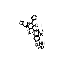 COP1(=O)N=C(c2c(O)c(-c3ccsc3)nn(CC3CCC3)c2=O)Nc2ccc(NS(C)(=O)=O)cc21